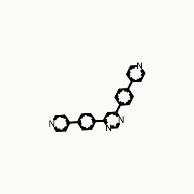 c1cc(-c2ccc(-c3cc(-c4ccc(-c5ccncc5)cc4)ncn3)cc2)ccn1